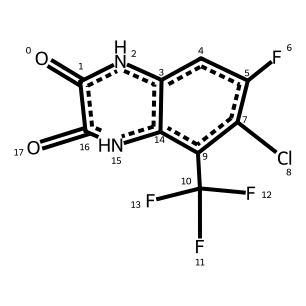 O=c1[nH]c2cc(F)c(Cl)c(C(F)(F)F)c2[nH]c1=O